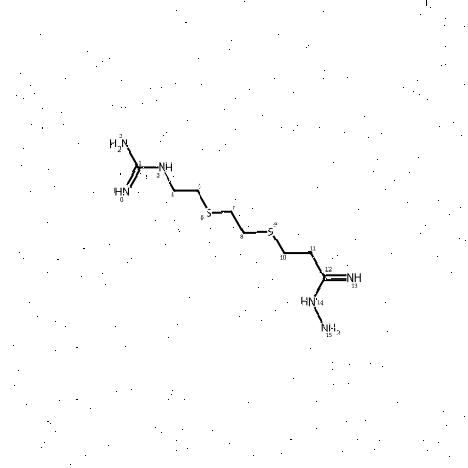 N=C(N)NCCSCCSCCC(=N)NN